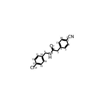 N#Cc1ccc(CC(=O)NCc2ccc(Cl)cc2)cc1